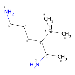 CC(N)C(CCCN)[SiH](C)C